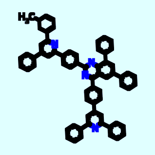 CC1C=CC=C(c2cc(-c3ccccc3)cc(-c3ccc(-c4nc(-c5ccc(-c6cc(-c7ccccc7)nc(-c7ccccc7)c6)cc5)c5cc(-c6ccccc6)cc(-c6ccccc6)c5n4)cc3)n2)C1